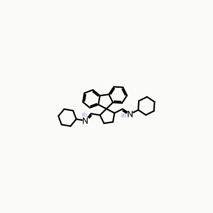 C(=N\C1CCCCC1)/C1CCC(/C=N/C2CCCCC2)C12c1ccccc1-c1ccccc12